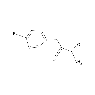 NC(=O)C(=O)Cc1ccc(F)cc1